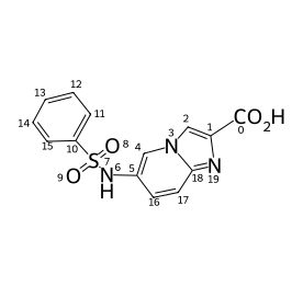 O=C(O)c1cn2cc(NS(=O)(=O)c3ccccc3)ccc2n1